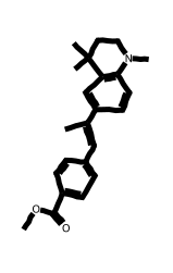 COC(=O)c1ccc(/C=C(\C)c2ccc3c(c2)C(C)(C)CCN3C)cc1